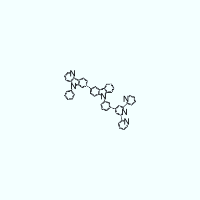 c1ccc(-n2c3cc(-c4ccc5c(c4)c4ccccc4n5-c4cccc(-c5cc(-c6ccccn6)nc(-c6ccccn6)c5)c4)ccc3c3ncccc32)cc1